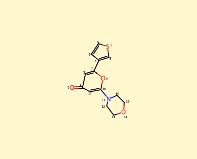 O=c1cc(-c2ccsc2)oc(N2CCOCC2)c1